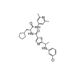 Cc1cc(NC(=O)[C@H](CC2CCCC2)NC(=O)c2cnc(C(C)Nc3cccc(Cl)c3)s2)cc(C)n1